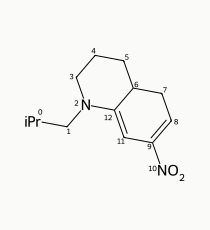 CC(C)CN1CCCC2CC=C([N+](=O)[O-])C=C21